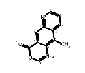 Cc1c2cccnc2cc2c(=O)ocnc12